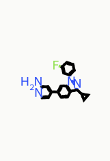 Nc1cc(-c2ccc3c(C4CC4)nn(-c4cccc(F)c4)c3c2)ccn1